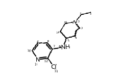 CCN1CCC(Nc2cccnc2Cl)CC1